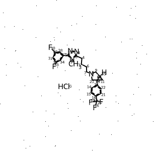 Cl.Cn1c(CCCCN2C[C@@H]3C[C@]3(c3ccc(C(F)(F)F)cc3)C2)nnc1-c1cc(F)cc(F)c1